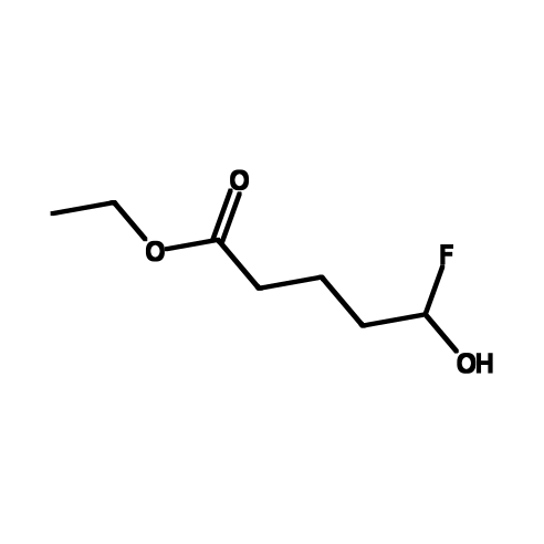 CCOC(=O)CCCC(O)F